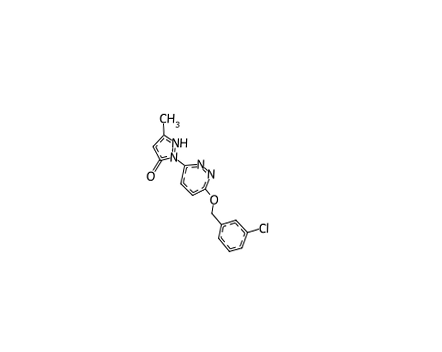 Cc1cc(=O)n(-c2ccc(OCc3cccc(Cl)c3)nn2)[nH]1